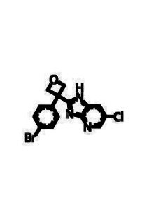 Clc1cnc2nc(C3(c4ccc(Br)cc4)COC3)[nH]c2c1